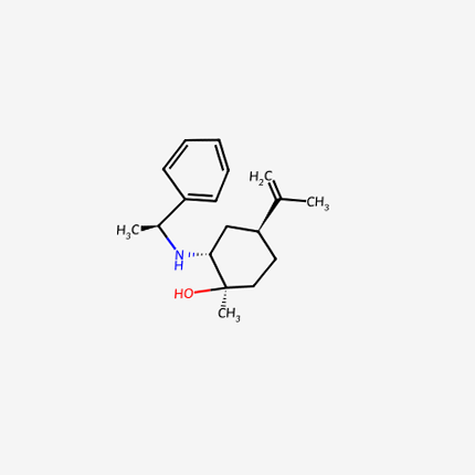 C=C(C)[C@H]1CC[C@@](C)(O)[C@H](N[C@@H](C)c2ccccc2)C1